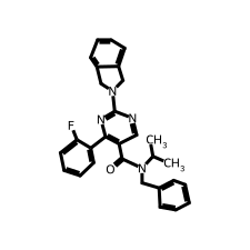 CC(C)N(Cc1ccccc1)C(=O)c1cnc(N2Cc3ccccc3C2)nc1-c1ccccc1F